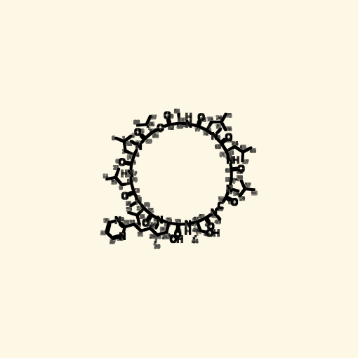 CC(C)C[C@@H]1C(=O)N[C@H](CC(C)C)C(=O)N(C)[C@H](C(C)C)C(=O)N(C)[C@H]([C@H](O)[C@H](C)CCCc2ncccn2)C(=O)N[C@H]([C@@H](C)O)C(=O)N(C)CC(=O)N(C)[C@@H](CC(C)C)C(=O)N[C@H](CC(C)C)C(=O)N(C)[C@H](CC(C)C)C(=O)N[C@H](C)C(=O)O[C@@H](C(C)C)C(=O)N1C